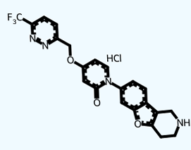 Cl.O=c1cc(OCc2ccc(C(F)(F)F)nn2)ccn1-c1ccc2c3c(oc2c1)CCNC3